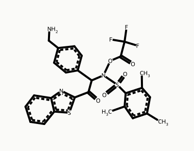 Cc1cc(C)c(S(=O)(=O)N(OC(=O)C(F)(F)F)C(C(=O)c2nc3ccccc3s2)c2ccc(CN)cc2)c(C)c1